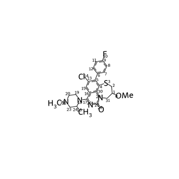 COC1CSc2c(-c3ccc(F)cc3)c(Cl)cc3c(N4CCN(C)CC4C)nc(=O)n(c23)C1